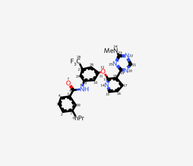 CCCc1cccc(C(=O)Nc2cc(Oc3ncccc3-c3ncnc(NC)n3)cc(C(F)(F)F)c2)c1